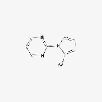 CC(=O)c1cccn1-c1ncccn1